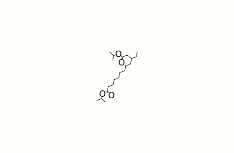 CCC(CCCCCCCCC(=O)OC(C)C)CC(=O)OC(C)C